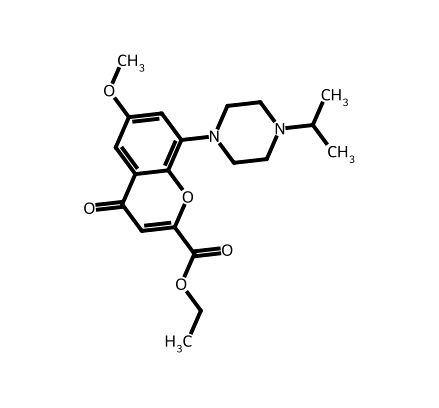 CCOC(=O)c1cc(=O)c2cc(OC)cc(N3CCN(C(C)C)CC3)c2o1